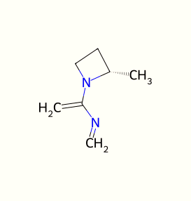 C=NC(=C)N1CC[C@@H]1C